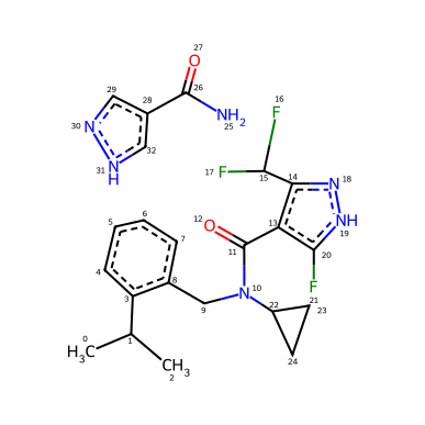 CC(C)c1ccccc1CN(C(=O)c1c(C(F)F)n[nH]c1F)C1CC1.NC(=O)c1cn[nH]c1